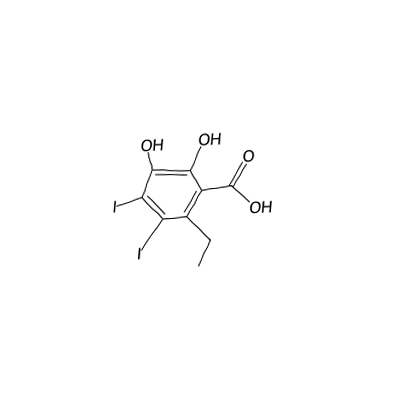 CCc1c(I)c(I)c(O)c(O)c1C(=O)O